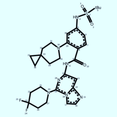 CC(C)(C)S(=O)(=O)Nc1ccc(C(=O)Nc2cc3nccn3c(N3CCC(F)(F)CC3)n2)c(N2CCC3(CC2)CC3)c1